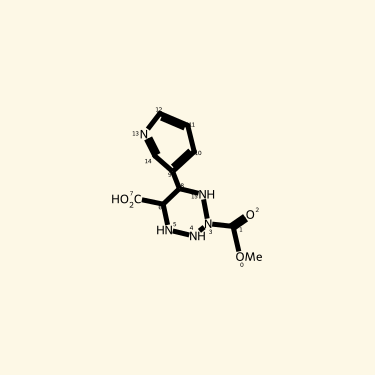 COC(=O)N1NNC(C(=O)O)C(c2cccnc2)N1